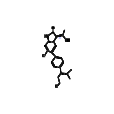 CC(C)=C(CCCl)c1ccc(-c2cc3c(cc2Cl)NC(=O)/C3=C(\C)O)cc1